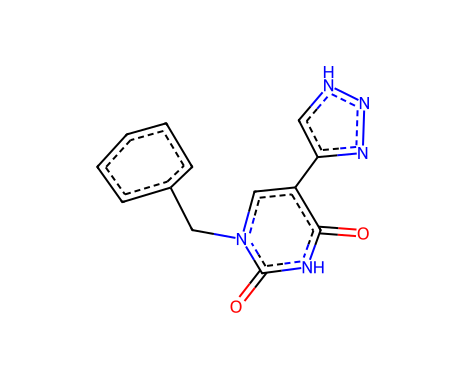 O=c1[nH]c(=O)n(Cc2ccccc2)cc1-c1c[nH]nn1